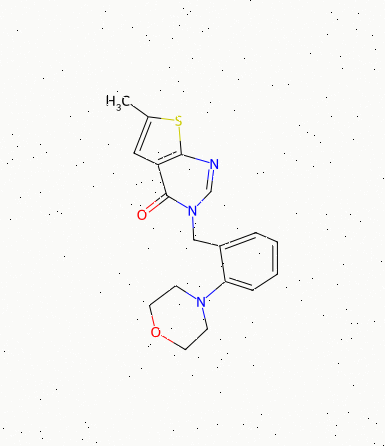 Cc1cc2c(=O)n(Cc3ccccc3N3CCOCC3)cnc2s1